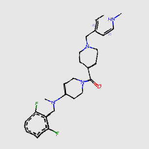 C/C=C(\C=C/NC)CN1CCC(C(=O)N2CCC(N(C)Cc3c(F)cccc3F)CC2)CC1